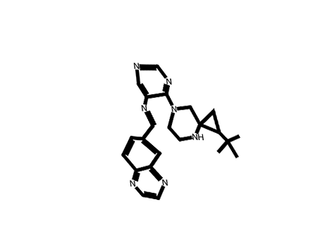 CC(C)(C)C1CC12CN(c1ncncc1/N=C/c1ccc3nccnc3c1)CCN2